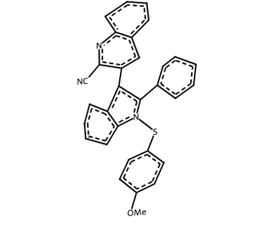 COc1ccc(Sn2c(-c3ccccc3)c(-c3cc4ccccc4nc3C#N)c3ccccc32)cc1